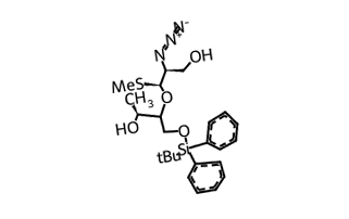 CS[C@H](OC(CO[Si](c1ccccc1)(c1ccccc1)C(C)(C)C)[C@H](C)O)[C@H](CO)N=[N+]=[N-]